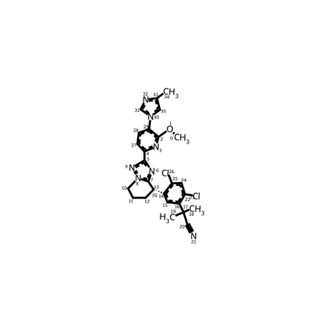 COc1nc(-c2nc3n(n2)CCC[C@H]3c2cc(C(C)(C)C#N)c(Cl)cc2Cl)ccc1-n1cnc(C)c1